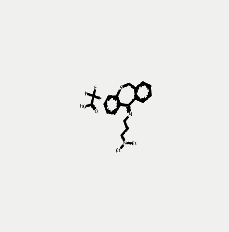 CCN(CC)CCC/N=C1/c2ccccc2CSc2ccccc21.O=C(O)C(F)(F)F